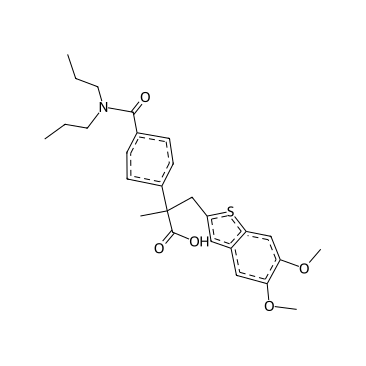 CCCN(CCC)C(=O)c1ccc(C(C)(Cc2cc3cc(OC)c(OC)cc3s2)C(=O)O)cc1